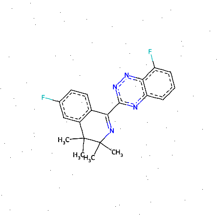 CC1(C)N=C(c2nnc3c(F)cccc3n2)c2ccc(F)cc2C1(C)C